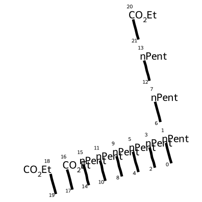 CCCCCC.CCCCCC.CCCCCC.CCCCCC.CCCCCC.CCCCCC.CCCCCC.CCCCCC.CCOC(C)=O.CCOC(C)=O.CCOC(C)=O